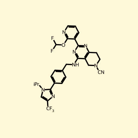 CC(C)n1cc(C(F)(F)F)nc1-c1ccc(CNc2nc(-c3cccnc3OC(F)F)nc3c2CN(C#N)CC3)cc1